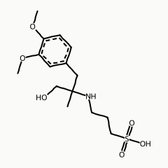 COc1ccc(CC(C)(CO)NCCCS(=O)(=O)O)cc1OC